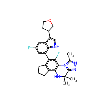 Cc1nnc2n1-c1c(F)c(-c3cc(F)cc4c(C5CCOC5)c[nH]c34)c3c(c1NC2(C)C)CCC3